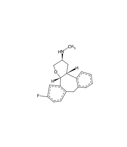 CN[C@@H]1CO[C@H]2c3cc(F)ccc3Cc3ccccc3[C@H]2C1